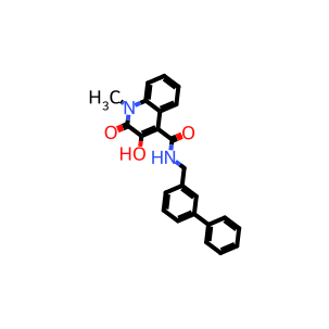 Cn1c(=O)c(O)c(C(=O)NCc2cccc(-c3ccccc3)c2)c2ccccc21